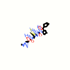 Cc1ccc(NC(=O)Nc2nc(CNC(=O)OCCN(C)C)cs2)c(C(=O)C2CCCC2)c1